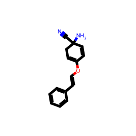 N#CC1(N)C=CC(OC=Cc2ccccc2)=CC1